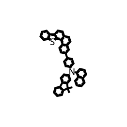 CC1(C)c2ccccc2-c2ccc(N(c3ccc(-c4ccc5c(ccc6ccc7c8ccccc8sc7c65)c4)cc3)c3cccc4ccccc34)cc21